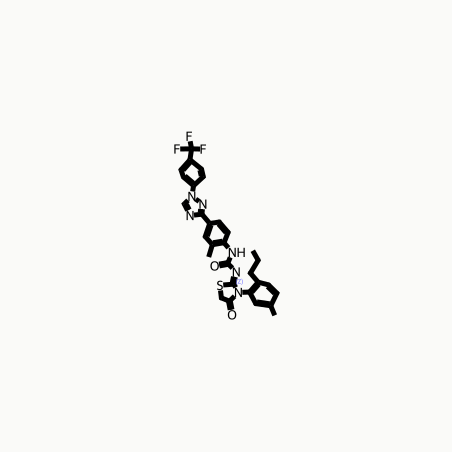 CCCc1ccc(C)cc1N1C(=O)CS/C1=N\C(=O)Nc1ccc(-c2ncn(-c3ccc(C(F)(F)F)cc3)n2)cc1C